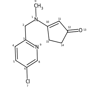 CN(Cc1ccc(Cl)cn1)C1=CC(=O)CC1